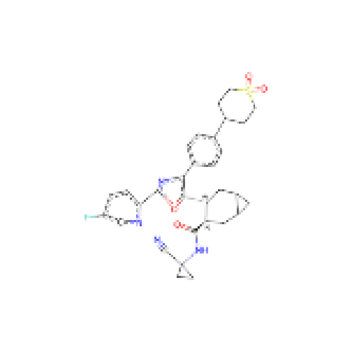 N#CC1(NC(=O)[C@@H]2CC3CC3C[C@H]2c2oc(-c3ccc(F)cn3)nc2-c2ccc(C3CCS(=O)(=O)CC3)cc2)CC1